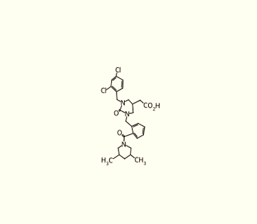 CC1CC(C)CN(C(=O)c2ccccc2CN2CC(CC(=O)O)CN(Cc3ccc(Cl)cc3Cl)C2=O)C1